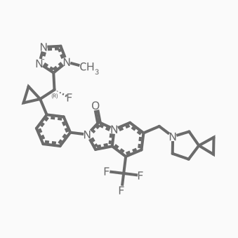 Cn1cnnc1[C@H](F)C1(c2cccc(-n3cc4c(C(F)(F)F)cc(CN5CCC6(CC6)C5)cn4c3=O)c2)CC1